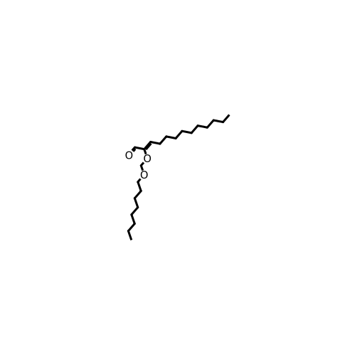 CCCCCCCCCCC=C(C=O)OCOCCCCCCCC